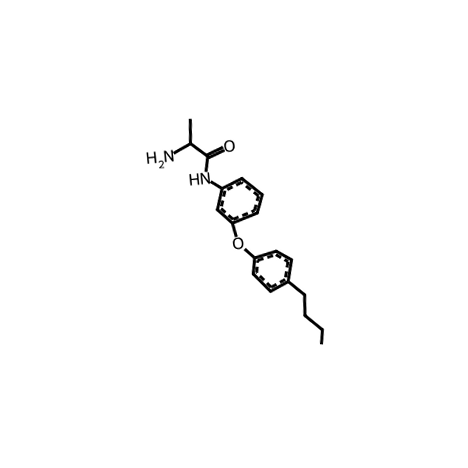 CCCCc1ccc(Oc2cccc(NC(=O)C(C)N)c2)cc1